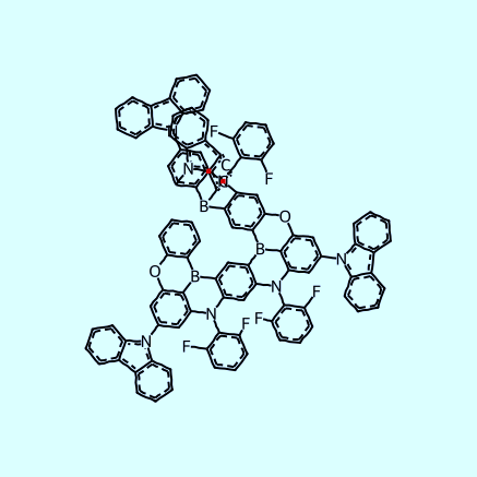 Fc1cccc(F)c1N1c2cc3c(cc2B2c4ccccc4Oc4cc(-n5c6ccccc6c6ccccc65)cc1c42)B1c2cc4c(cc2Oc2cc(-n5c6ccccc6c6ccccc65)cc(c21)N3c1c(F)cccc1F)N(c1c(F)cccc1F)c1cc(-n2c3ccccc3c3ccccc32)cc2c1B4c1cccc3c4ccccc4n-2c13